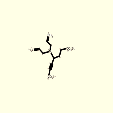 C=CCN(CC=C)C(C#CC(=O)OCC)CCC(=O)OCC